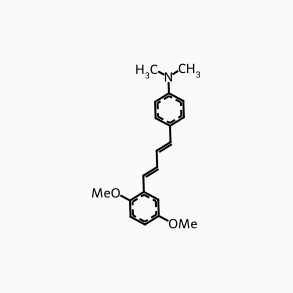 COc1ccc(OC)c(C=CC=Cc2ccc(N(C)C)cc2)c1